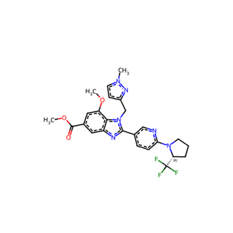 COC(=O)c1cc(OC)c2c(c1)nc(-c1ccc(N3CCC[C@@H]3C(F)(F)F)nc1)n2Cc1ccn(C)n1